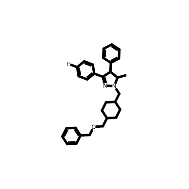 CC1C(c2ccccc2)C(c2ccc(F)cc2)=NN1CC1CCC(COCc2ccccc2)CC1